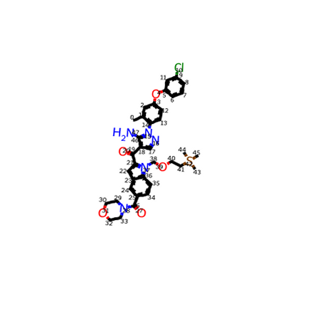 Cc1cc(Oc2cccc(Cl)c2)ccc1-n1ncc(C(=O)c2cc3cc(C(=O)N4CCOCC4)ccc3n2COCCS(C)(C)C)c1N